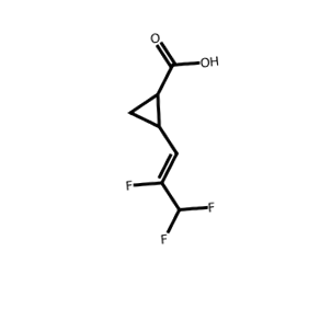 O=C(O)C1CC1C=C(F)C(F)F